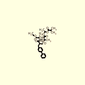 CCOC(=O)C(C)NC(=O)C(Cc1ccc(-c2ccccc2)cc1)CP(=O)(O)C(C)NC(=O)OC(C)OC(=O)C(C)C